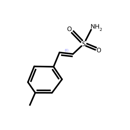 Cc1ccc(/C=C/S(N)(=O)=O)cc1